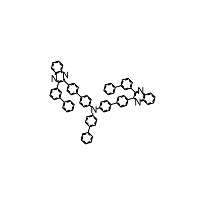 c1ccc(-c2ccc(N(c3ccc(-c4ccc(-c5nc6ccccc6nc5-c5cccc(-c6ccccc6)c5)cc4)cc3)c3ccc(-c4ccc(-c5nc6ccccc6nc5-c5cccc(-c6ccccc6)c5)cc4)cc3)cc2)cc1